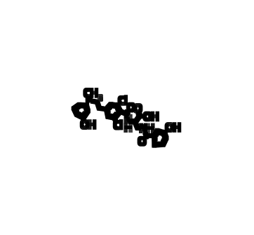 CP(CCc1cc(Cl)c(C(=O)NC(CNC(=O)c2cccc(O)c2)C(=O)O)c(Cl)c1)c1cccc(O)c1